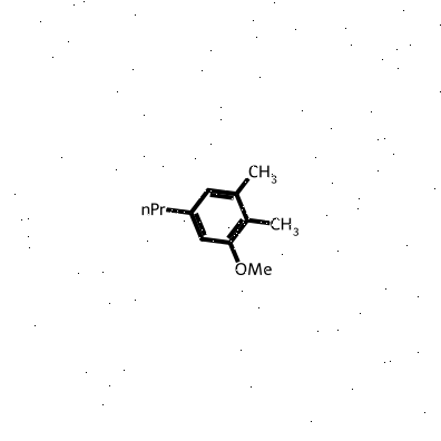 CCCc1cc(C)c(C)c(OC)c1